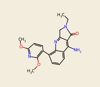 CCN1Cc2nc3c(-c4ccc(OC)nc4OC)cccc3c(N)c2C1=O